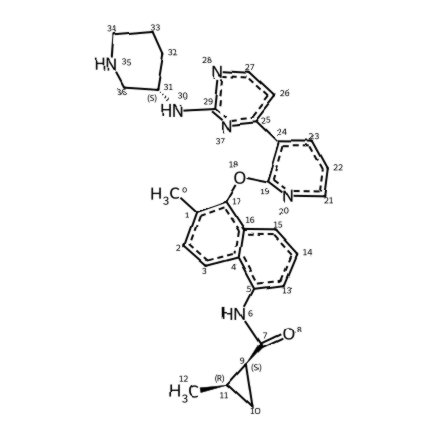 Cc1ccc2c(NC(=O)[C@H]3C[C@H]3C)cccc2c1Oc1ncccc1-c1ccnc(N[C@H]2CCCNC2)n1